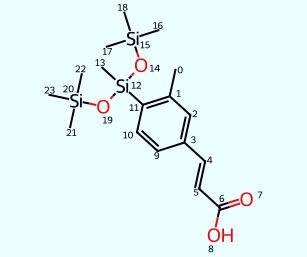 Cc1cc(C=CC(=O)O)ccc1[Si](C)(O[Si](C)(C)C)O[Si](C)(C)C